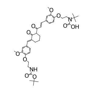 COc1cc(C=C2CCCC(C(=O)C=Cc3ccc(OCCN(C(=O)O)C(C)(C)C)c(OC)c3)C2=O)ccc1OCCNC(=O)OC(C)(C)C